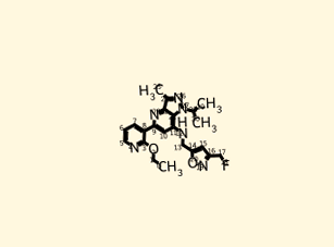 CCOc1ncccc1-c1cc(NCc2cc(CF)no2)c2c(n1)c(C)nn2C(C)C